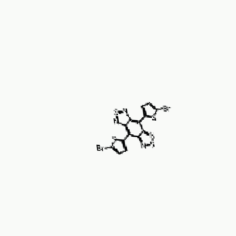 Brc1ccc(-c2c3c(c(-c4ccc(Br)s4)c4nsnc24)N=S=N3)s1